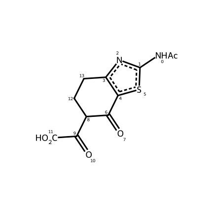 CC(=O)Nc1nc2c(s1)C(=O)C(C(=O)C(=O)O)CC2